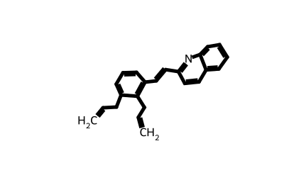 C=CCc1cccc(/C=C/c2ccc3ccccc3n2)c1CC=C